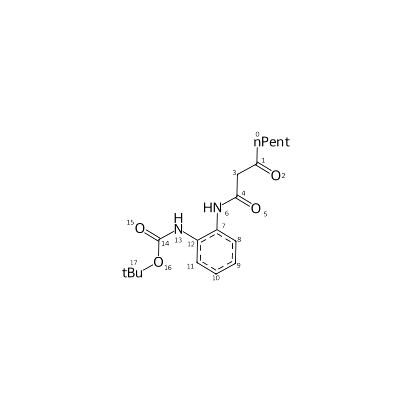 CCCCCC(=O)CC(=O)Nc1ccccc1NC(=O)OC(C)(C)C